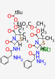 CC(C)(C)C(=O)OCOC(=O)[C@@H]1N2C(=O)[C@@H](NC(=O)[C@H](N)c3ccccc3)[C@H]2SC1(C)C.CCOC(=O)OC(C)OC(=O)[C@@H]1N2C(=O)[C@@H](NC(=O)[C@H](N)c3ccccc3)[C@H]2SC1(C)C.Cl.Cl